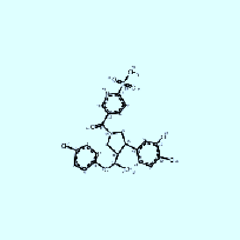 CC(Oc1ccc(Cl)cn1)C1CN(C(=O)c2ccc(S(C)(=O)=O)nc2)CC1c1ccc(Cl)c(Cl)c1